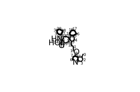 CC1CCc2nccc(OCCCC3Cc4ccccc4C34CCC(Nc3ccccc3)(C(=O)O)CC4)c21